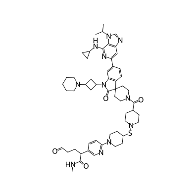 CNC(=O)C(CCC=O)c1ccc(N2CCC(SN3CCC(C(=O)N4CCC5(CC4)C(=O)N(C4CC(N6CCCCC6)C4)c4cc(-c6cc7ncn(C(C)C)c7c(NC7CC7)n6)ccc45)CC3)CC2)nc1